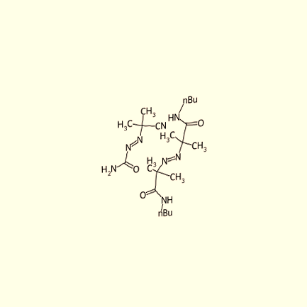 CC(C)(C#N)/N=N/C(N)=O.CCCCNC(=O)C(C)(C)/N=N/C(C)(C)C(=O)NCCCC